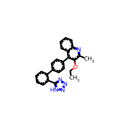 CCOc1c(C)nc2ccccc2c1-c1ccc(-c2ccccc2-c2nnn[nH]2)cc1